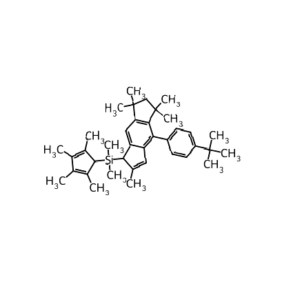 CC1=Cc2c(cc3c(c2-c2ccc(C(C)(C)C)cc2)C(C)(C)CC3(C)C)C1[Si](C)(C)C1C(C)=C(C)C(C)=C1C